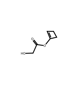 O=C(CO)OC1=CCC1